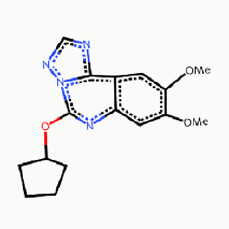 COc1cc2nc(OC3CCCC3)n3ncnc3c2cc1OC